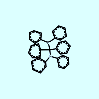 c1ccc(P(c2ccccc2)C(c2ccccc2)(c2ccccc2)P(c2ccccc2)c2ccccc2)cc1